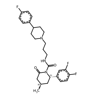 C[C@H]1CC(=O)N(C(=O)NCCCN2CCC(c3ccc(F)cc3)CC2)[C@H](c2ccc(F)c(F)c2)C1